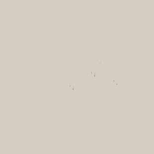 NC(=O)N(S)c1cc2ccccc2cn1